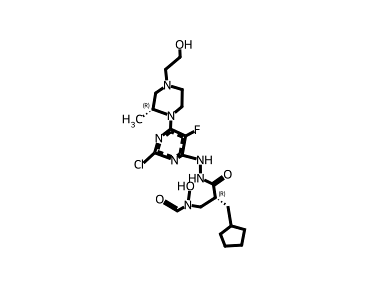 C[C@@H]1CN(CCO)CCN1c1nc(Cl)nc(NNC(=O)[C@H](CC2CCCC2)CN(O)C=O)c1F